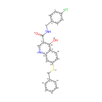 O=C(NCc1ccc(Cl)cc1)c1cnc2cc(SCc3ccccc3)ccc2c1O